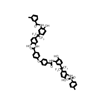 Cc1ccc(S(=O)(=O)Nc2cc(C(c3ccc(O)c(NC(=O)c4ccc(Oc5ccc(C(=O)Nc6cc(C(c7ccc(O)c(NC(=O)c8cccc(C)c8)c7)(C(F)(F)F)C(F)(F)F)ccc6O)cc5)cc4)c3)(C(F)(F)F)C(F)(F)F)ccc2O)cc1